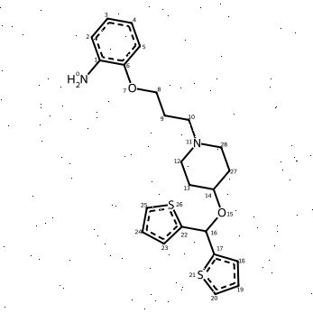 Nc1ccccc1OCCCN1CCC(OC(c2cccs2)c2cccs2)CC1